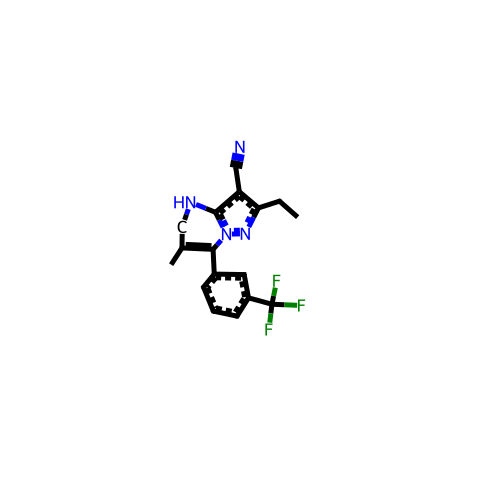 CCc1nn2c(c1C#N)NCC(C)=C2c1cccc(C(F)(F)F)c1